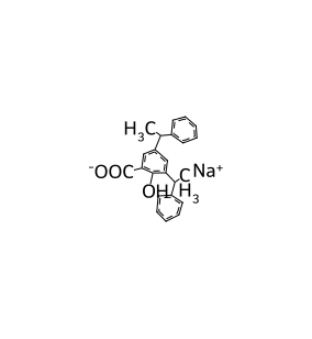 CC(c1ccccc1)c1cc(C(=O)[O-])c(O)c(C(C)c2ccccc2)c1.[Na+]